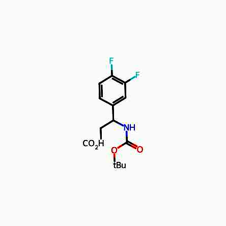 CC(C)(C)OC(=O)NC(CC(=O)O)c1ccc(F)c(F)c1